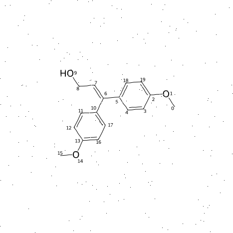 COc1ccc(C(=CCO)c2ccc(OC)cc2)cc1